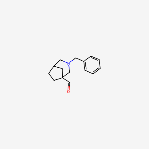 O=CC12CCC(CN(Cc3ccccc3)C1)C2